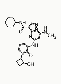 CNc1cc(Nc2cccn(C3CCC3O)c2=O)nc2c(C(=O)NC3CCCCC3)cnn12